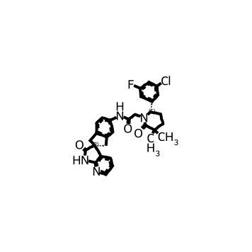 CC1(C)CC[C@@H](c2cc(F)cc(Cl)c2)N(CC(=O)Nc2ccc3c(c2)C[C@@]2(C3)C(=O)Nc3ncccc32)C1=O